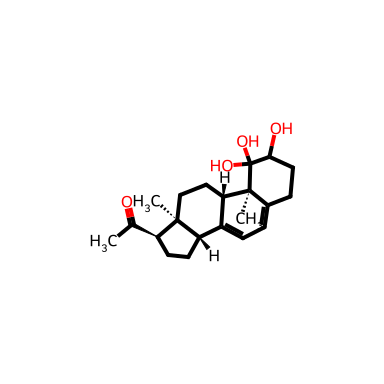 CC(=O)[C@@H]1CC[C@H]2C3=CC=C4CCC(O)C(O)(O)[C@]4(C)[C@H]3CC[C@]12C